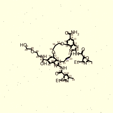 CCc1nc(C)oc1C(=O)Nc1nc2cc(C(N)=O)cc3c2n1C/C=C/Cn1c(NC(=O)c2cc(C)nn2CC)nc2cc(C(O)NCCOCCO)cc(c21)OCCCO3